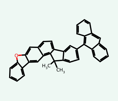 CC1(C)c2ccc(-c3c4ccccc4cc4ccccc34)cc2-c2ccc3cc4oc5ccccc5c4cc3c21